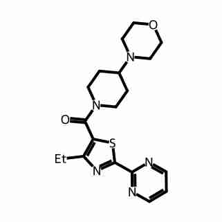 CCc1nc(-c2ncccn2)sc1C(=O)N1CCC(N2CCOCC2)CC1